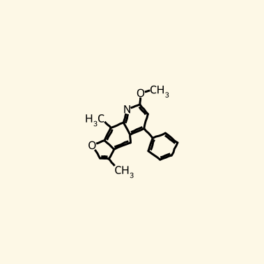 COc1cc(-c2ccccc2)c2cc3c(C)coc3c(C)c2n1